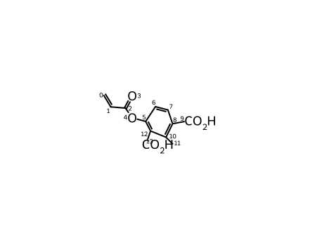 C=CC(=O)Oc1ccc(C(=O)O)c(C)c1C(=O)O